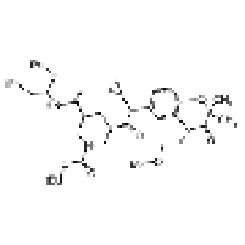 CCOCCN1C(=O)C(C)(C)Oc2ccc(N(C(=O)[C@@H]3C[C@H](C(=O)NC(CC(C)C)CC(C)C)CN(C(=O)OC(C)(C)C)C3)C3CC3)cc21